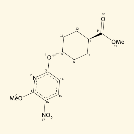 COc1nc(O[C@H]2CC[C@H](C(=O)OC)CC2)ccc1[N+](=O)[O-]